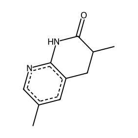 Cc1cnc2c(c1)CC(C)C(=O)N2